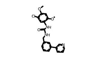 COc1cc(OC)c(NC(=O)NCc2cccc(-c3cccnc3)c2)cc1Cl